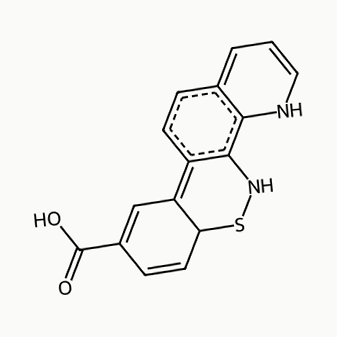 O=C(O)C1=CC2=c3ccc4c(c3NSC2C=C1)NC=CC=4